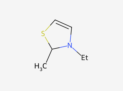 CCN1C=CSC1C